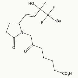 CCCCC(F)(F)C(C)(O)C=CC1CCC(=O)N1CC(=O)CCCCC(=O)O